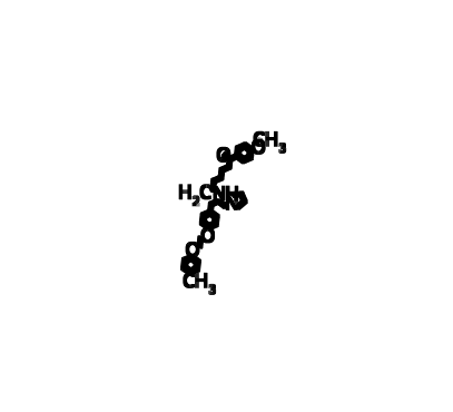 C=C(CCCCC(=O)c1ccc(OC)cc1)NC(Cc1ccc(OCCOc2ccc(C)cc2)cc1)CN1CCCC1